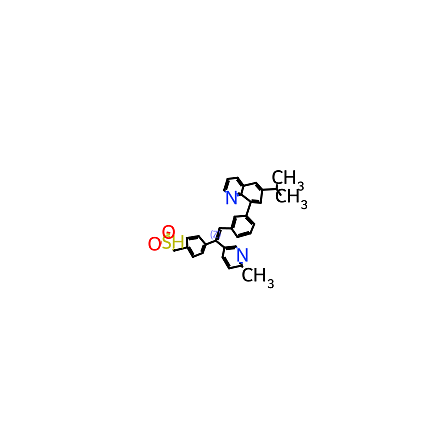 Cc1ccc(/C(=C\c2cccc(-c3cc(C(C)C)cc4cccnc34)c2)c2ccc(C[SH](=O)=O)cc2)cn1